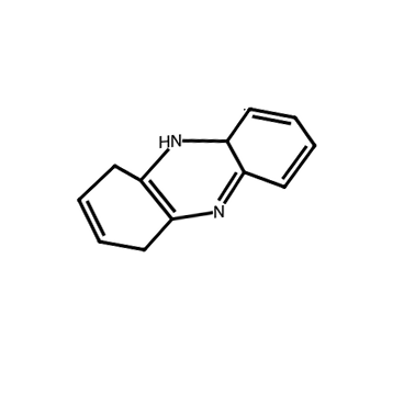 [C]1=CC=CC2=NC3=C(CC=CC3)NC12